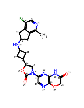 Cc1ncc(F)c2c1CC(NC1CC(C3CN(c4cnc5c(n4)NC(=O)CO5)C(=O)O3)C1)C2